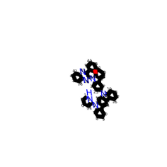 C1=CCNC(n2c3ccccc3c3cc4c5ccccc5n(-c5ccc6c(c5)c5ccccc5n6-c5nc6ccccc6nc5-c5ccccc5)c4cc32)=C1